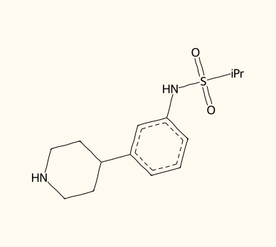 CC(C)S(=O)(=O)Nc1cccc(C2CCNCC2)c1